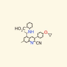 Cc1cc(C(C)Nc2ccccc2C(=O)O)c2cc(-c3ccc(OC4CC4)cc3)c(C#N)nc2c1